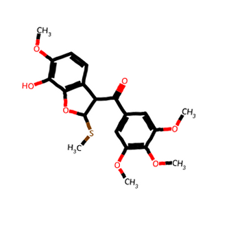 COc1ccc2c(c1O)OC(SC)C2C(=O)c1cc(OC)c(OC)c(OC)c1